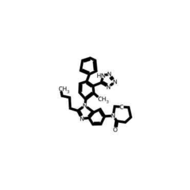 CCCCc1nc2ccc(N3CCCCCC3=O)cc2n1-c1ccc(-c2ccccc2)c(-c2nnn[nH]2)c1C